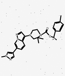 Cc1ccc([C@@H](C)OC(=O)N2CCN(c3cnn4cc(-c5cnn(C)c5)ccc34)CC2(C)C)cc1